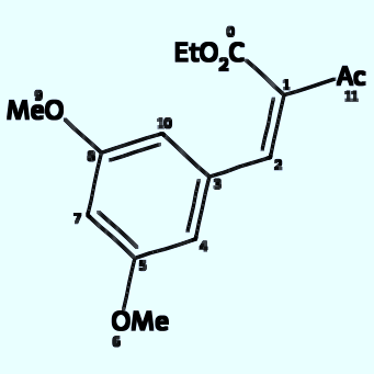 CCOC(=O)/C(=C\c1cc(OC)cc(OC)c1)C(C)=O